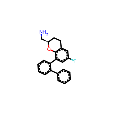 NC[C@H]1CCc2cc(F)cc(-c3ccccc3-c3ccccc3)c2O1